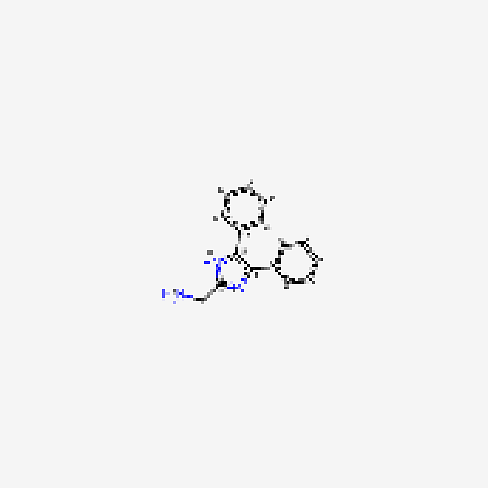 NCc1nc(-c2ccccc2)c(-c2ccccc2)[nH]1